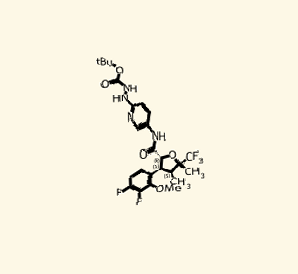 COc1c([C@H]2[C@H](C(=O)Nc3ccc(NNC(=O)OC(C)(C)C)nc3)O[C@@](C)(C(F)(F)F)[C@H]2C)ccc(F)c1F